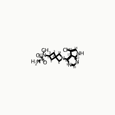 CN(C1CC2(C1)CN(c1ncnc3[nH]cc(Cl)c13)C2)S(N)(=O)=O